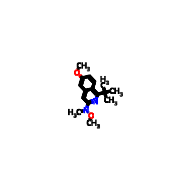 COc1ccc2c(C(C)(C)C)nc(N(C)OC)cc2c1